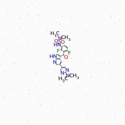 CCN(C)S(=O)(=O)Nc1ccc(F)c(C(=O)c2c[nH]c3ncc(-c4cnc(N(C)C)nc4)cc23)c1F